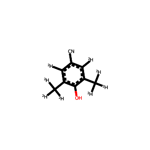 [2H]c1c(C#N)c([2H])c(C([2H])([2H])[2H])c(O)c1C([2H])([2H])[2H]